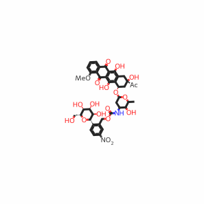 COc1cccc2c1C(=O)c1c(O)c3c(c(O)c1C2=O)C[C@@](O)(C(C)=O)C[C@@H]3OC1CC(NC(=O)OCc2cc([N+](=O)[O-])ccc2[C@@H]2O[C@H](CO)[C@H](O)[C@H](O)[C@H]2O)C(O)C(C)O1